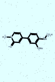 COc1cc(-c2ccn(C)c(=O)c2)ccc1NC(=O)O